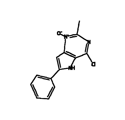 Cc1nc(Cl)c2[nH]c(-c3ccccc3)cc2[n+]1[O-]